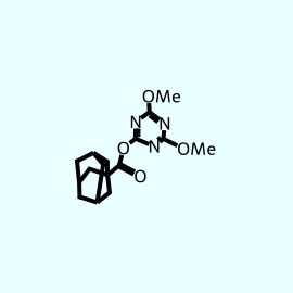 COc1nc(OC)nc(OC(=O)C23CC4CC(CC(C4)C2)C3)n1